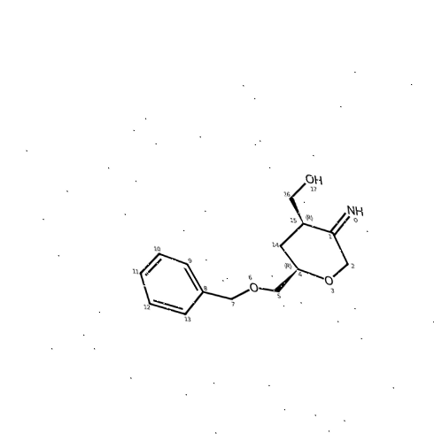 N=C1CO[C@@H](COCc2ccccc2)C[C@H]1CO